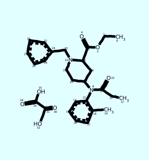 CCOC(=O)C1CC(N(C(=O)CC)c2ccccc2C)CCN1Cc1ccccc1.O=C(O)C(=O)O